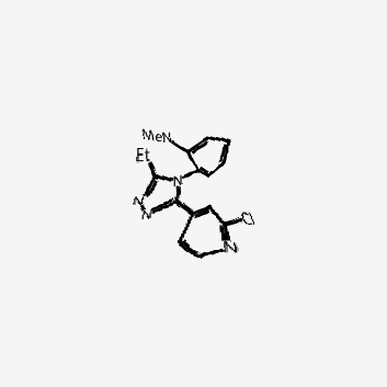 CCc1nnc(-c2ccnc(Cl)c2)n1-c1ccccc1NC